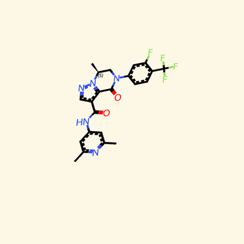 Cc1cc(NC(=O)c2cnn3c2C(=O)N(c2ccc(C(F)(F)F)c(F)c2)C[C@@H]3C)cc(C)n1